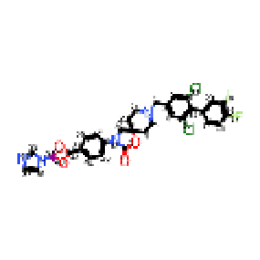 O=C1OC2(CCN(Cc3cc(Cl)c(-c4ccc(F)c(F)c4)c(Cl)c3)CC2)CN1c1ccc(C2OI(n3ccnc3)O2)cc1